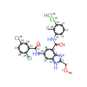 COCc1nc2c(C(=O)Nc3cccc(Cl)c3C)cc(NC(=O)c3cc(Cl)ccc3Cl)cc2[nH]1.Cl